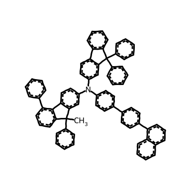 CC1(c2ccccc2)c2cc(N(c3ccc(-c4ccc(-c5cccc6ccccc56)cc4)cc3)c3ccc4c(c3)C(c3ccccc3)(c3ccccc3)c3ccccc3-4)ccc2-c2c(-c3ccccc3)cccc21